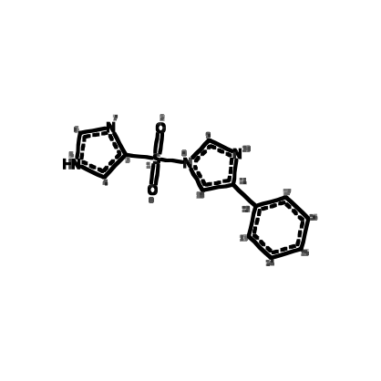 O=S(=O)(c1c[nH]cn1)n1cnc(-c2ccccc2)c1